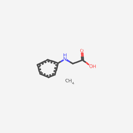 C.O=C(O)CNc1ccccc1